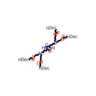 CCCCCCCCCCCCC(=O)OCCCCN(CCCCOC(=O)CCCCCCCCCCCC)CCCCC1NC(=O)C(CCCCN(CCCCOC(=O)CCCCCCCCCCCC)CCCCOC(=O)CCCCCCCCCCCC)NC1=O